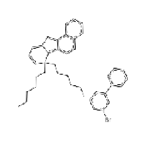 Brc1cccc(-c2ccccc2)c1.CCCCCCC1(CCCCCC)C=CC=C2C=c3c(ccc4ccccc34)=C21